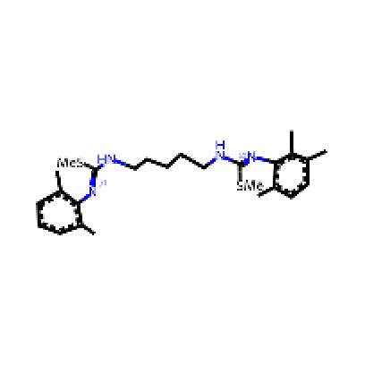 CS/C(=N\c1c(C)cccc1C)NCCCCCN/C(=N/c1c(C)ccc(C)c1C)SC